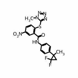 Cn1nnnc1Sc1ccc([N+](=O)[O-])cc1C(=O)Nc1ccc(C2(C)CC2(F)F)cc1